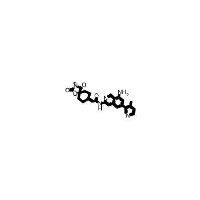 Cc1ccncc1-c1cc(N)c2cnc(NC(=O)C=C3CCC4(CC3)OC(=O)N(C)C4=O)cc2c1